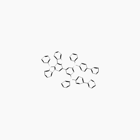 c1ccc(-c2ccc(N(c3ccccc3)c3cc(-c4cc5c6ccccc6n(-c6ccccc6)c5c5c4sc4ccccc45)cc(N(c4ccccc4)c4ccc(-c5ccccc5)cc4)c3)cc2)cc1